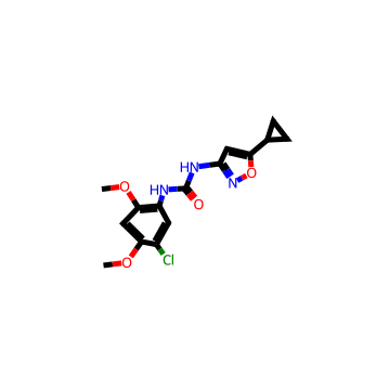 COc1cc(OC)c(NC(=O)Nc2cc(C3CC3)on2)cc1Cl